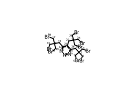 BrCC(CBr)(CBr)Cc1nnnc(CC(CBr)(CBr)CBr)c1CC(CBr)(CBr)CBr